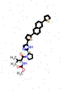 COC(=O)N[C@@H](C(=O)N1CCC[C@@H]1c1ncc(-c2ccc(-c3ccc4cc(-c5cccs5)ccc4c3)s2)[nH]1)C(C)C